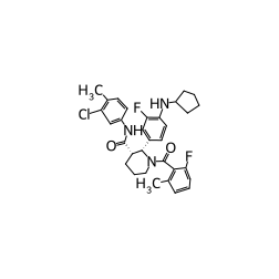 Cc1ccc(NC(=O)[C@H]2CCCN(C(=O)c3c(C)cccc3F)[C@H]2c2ccc(NC3CCCC3)c(F)c2)cc1Cl